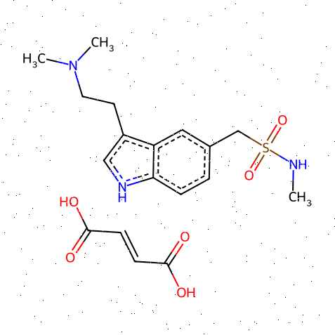 CNS(=O)(=O)Cc1ccc2[nH]cc(CCN(C)C)c2c1.O=C(O)/C=C/C(=O)O